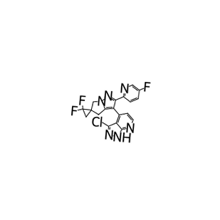 Fc1ccc(-c2nn3c(c2-c2ccnc4[nH]nc(Cl)c24)CC2(C3)CC2(F)F)nc1